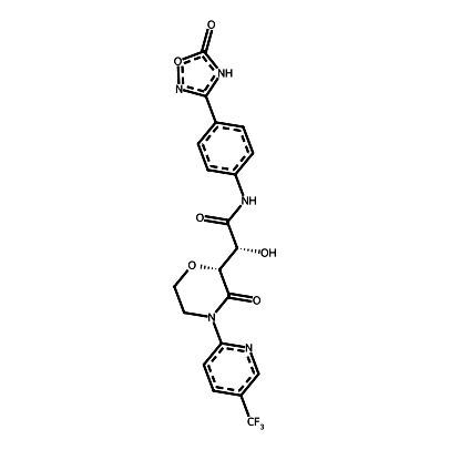 O=C(Nc1ccc(-c2noc(=O)[nH]2)cc1)[C@H](O)[C@H]1OCCN(c2ccc(C(F)(F)F)cn2)C1=O